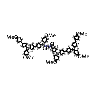 COc1ccc(-c2ccc(N(c3ccc(OC)cc3)c3ccc(-c4ccc(N(/C(C)=C/C=C(\C)c5ccc(N(c6ccc(OC)cc6)c6ccc(-c7ccc(N(c8ccc(OC)cc8)c8ccc(-c9ccc(OC)cc9)cc8)cc7)cc6)cc5)c5ccc(OC)cc5)cc4)cc3)cc2)cc1